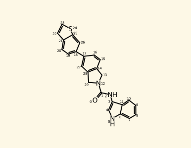 O=C(Nc1c[nH]c2ccccc12)N1Cc2ccc(-c3ccc4ccsc4c3)cc2C1